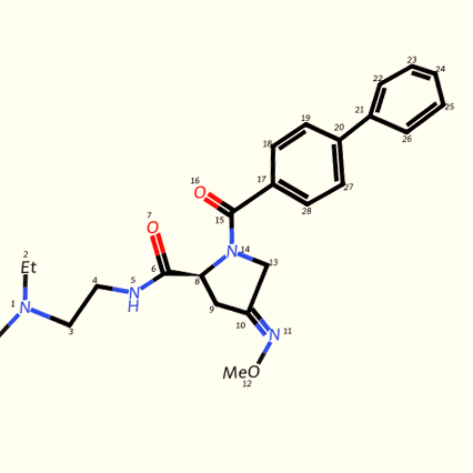 CCN(CC)CCNC(=O)[C@@H]1CC(=NOC)CN1C(=O)c1ccc(-c2ccccc2)cc1